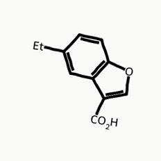 CCc1ccc2occ(C(=O)O)c2c1